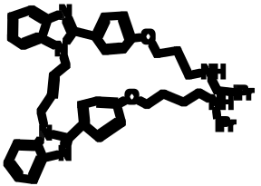 CC(C)CNCCCOc1ccc(-c2nc3ccccc3n2CC=CCn2c(-c3ccc(OCCCCNC(C)C)cc3)nc3ccccc32)cc1